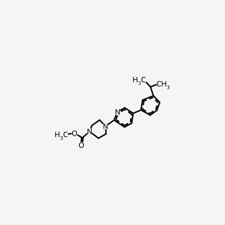 COC(=O)N1CCN(c2ccc(-c3cccc(C(C)C)c3)cn2)CC1